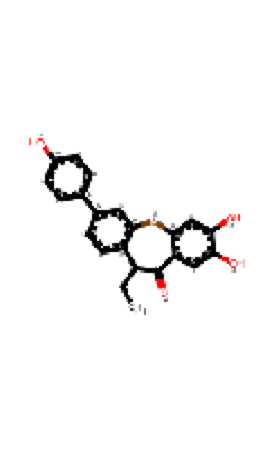 CCC1C(=O)c2cc(O)c(O)cc2Sc2cc(-c3ccc(O)cc3)ccc21